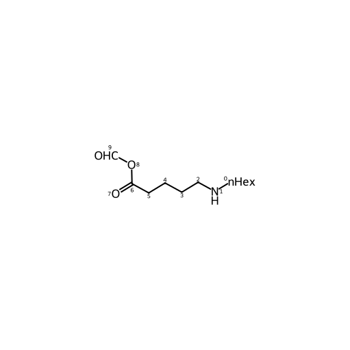 CCCCCCNCCCCC(=O)OC=O